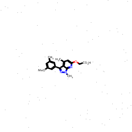 COc1cc(C)cc(-c2nn(C)c3nc(OCC(=O)O)cc(C)c23)c1